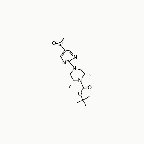 C[C@@H]1CN(c2ncc([S+](C)[O-])cn2)C[C@H](C)N1C(=O)OC(C)(C)C